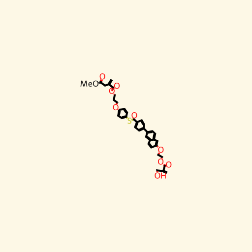 C=C(CO)C(=O)OCCOc1ccc2cc(-c3ccc(C(=O)Sc4ccc(OCCCOC(=O)C(=C)CC(=O)OC)cc4)cc3)ccc2c1